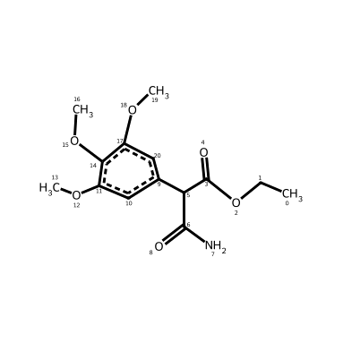 CCOC(=O)C(C(N)=O)c1cc(OC)c(OC)c(OC)c1